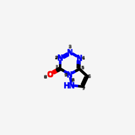 O=c1nnnc2cc[nH]n12